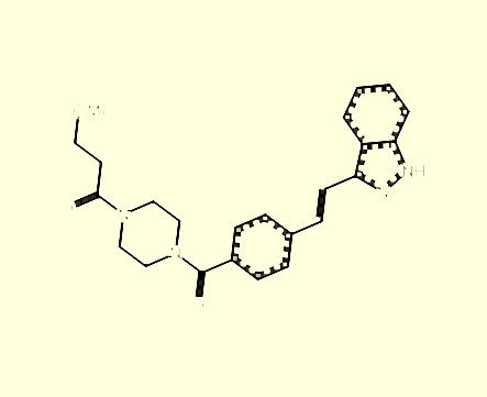 COCCC(=O)N1CCN(C(=O)c2ccc(C=Cc3n[nH]c4ccccc34)cc2)CC1